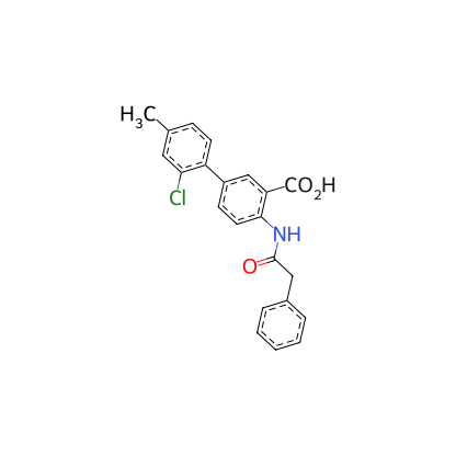 Cc1ccc(-c2ccc(NC(=O)Cc3ccccc3)c(C(=O)O)c2)c(Cl)c1